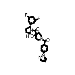 O=C(c1ccc(-n2cccn2)cc1)N1CCC2(CC1)O[C@@H]1CC[C@@H](c3cc(F)cc(F)c3)N1C2=O